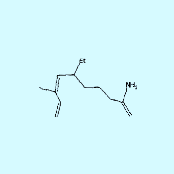 C=C/C(C)=C\C(CC)CCCC(=C)N